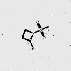 CC[C@H]1CCN1S(C)(=O)=O